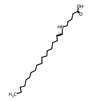 CCCCCCCCCCCCCCCC/C=C/NCCCCC(=O)O